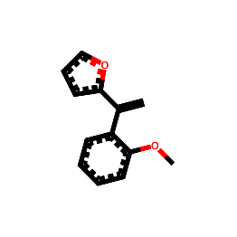 C=C(c1ccco1)c1ccccc1OC